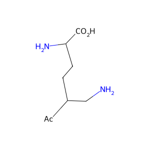 CC(=O)C(CN)CCC(N)C(=O)O